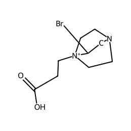 O=C(O)CC[N+]12CCN(CC1)CC2Br